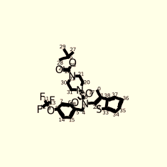 Cc1c(N(Cc2ccc(OC(F)(F)F)cc2)S(=O)(=O)N2CCN(C(=O)OC(C)(C)C)CC2)sc2ccccc12